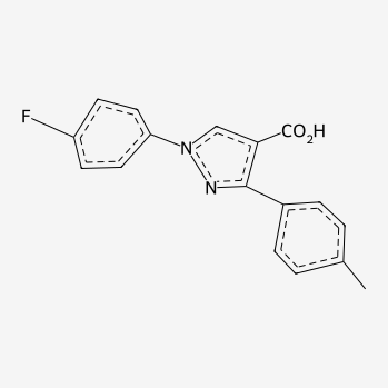 Cc1ccc(-c2nn(-c3ccc(F)cc3)cc2C(=O)O)cc1